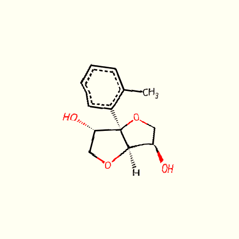 Cc1ccccc1[C@]12OC[C@@H](O)[C@H]1OC[C@@H]2O